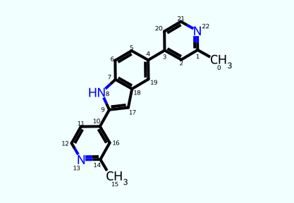 Cc1cc(-c2ccc3[nH]c(-c4ccnc(C)c4)cc3c2)ccn1